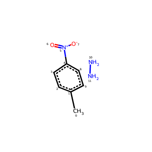 Cc1ccc([N+](=O)[O-])cc1.NN